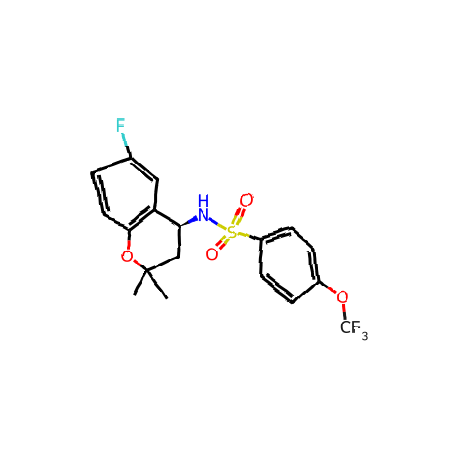 CC1(C)C[C@H](NS(=O)(=O)c2ccc(OC(F)(F)F)cc2)c2cc(F)ccc2O1